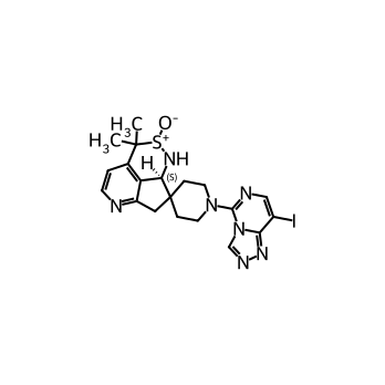 CC1(C)c2ccnc3c2[C@@H](N[S+]1[O-])C1(CCN(c2ncc(I)c4nncn24)CC1)C3